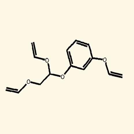 C=COCC(OC=C)Oc1cccc(OC=C)c1